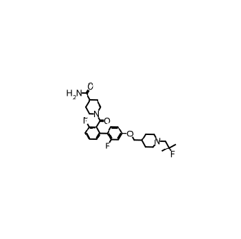 CC(C)(F)CN1CCC(COc2ccc(-c3cccc(F)c3C(=O)N3CCC(C(N)=O)CC3)c(F)c2)CC1